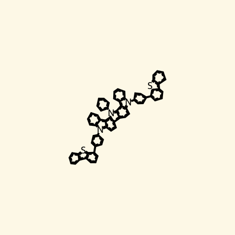 c1ccc(-n2c3c(ccc4c3c3ccccc3n4-c3ccc(-c4cccc5c4sc4ccccc45)cc3)c3ccc4c(c5ccccc5n4-c4ccc(-c5cccc6c5sc5ccccc56)cc4)c32)cc1